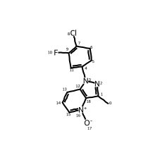 Cc1nn(-c2ccc(Cl)c(F)c2)c2ccc[n+]([O-])c12